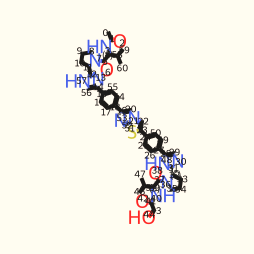 CC(=O)N[C@H](C(=O)N1CCCC1c1nc(-c2ccc(-c3cn4cc(-c5ccc(-c6cnc([C@@H]7CCCN7C(=O)[C@@H](NC(=O)CO)C(C)C)[nH]6)cc5)sc4n3)cc2)c[nH]1)C(C)C